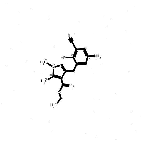 CCOC(=O)c1c(Cc2cc(N)cc(C#N)c2F)cn(C)c1C